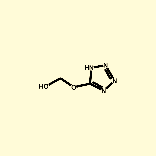 OCOc1nnn[nH]1